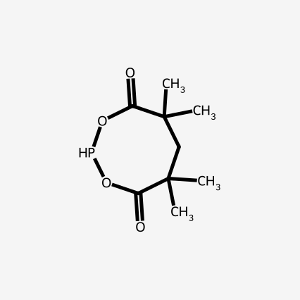 CC1(C)CC(C)(C)C(=O)OPOC1=O